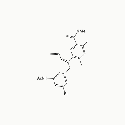 C=C/C=C(/Cc1cc(CC)cc(NC(C)=O)c1)c1cc(C(=C)NC)c(C)cc1C